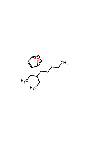 CCCCCC(CC)CC.c1cc2ccc1o2